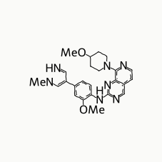 CN/C=C(\C=N)c1ccc(Nc2ncc3ccnc(N4CCC(OC)CC4)c3n2)c(OC)c1